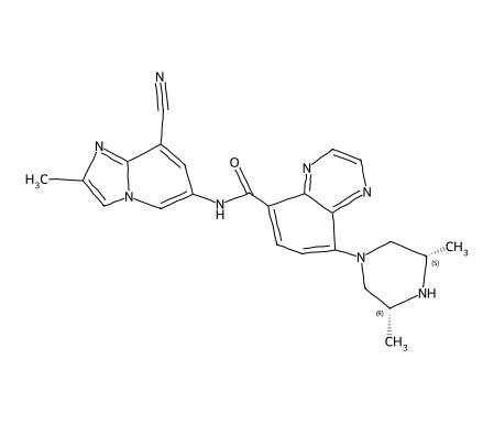 Cc1cn2cc(NC(=O)c3ccc(N4C[C@@H](C)N[C@@H](C)C4)c4nccnc34)cc(C#N)c2n1